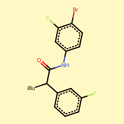 CCC(C)C(C(=O)Nc1ccc(Br)c(F)c1)c1cccc(F)c1